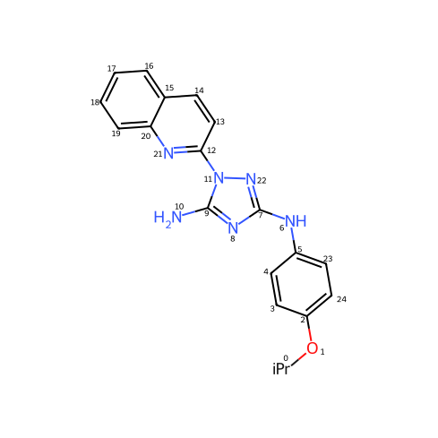 CC(C)Oc1ccc(Nc2nc(N)n(-c3ccc4ccccc4n3)n2)cc1